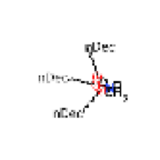 CCCCCCCCCCCCCCCCCCOc1ccc(N(C)c2ccccc2)c(OCCCCCCCCCCCCCCCCCC)c1OCCCCCCCCCCCCCCCCCC